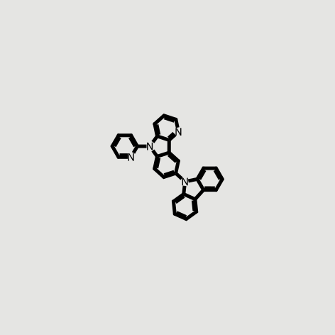 c1ccc(-n2c3ccc(-n4c5ccccc5c5ccccc54)cc3c3ncccc32)nc1